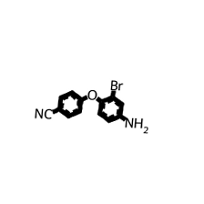 N#Cc1ccc(Oc2ccc(N)cc2Br)cc1